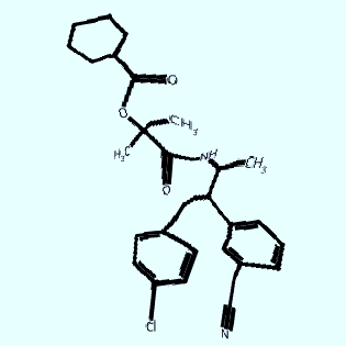 CC(NC(=O)C(C)(C)OC(=O)C1CCCCC1)C(Cc1ccc(Cl)cc1)c1cccc(C#N)c1